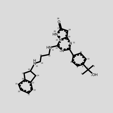 CC(C)(O)c1ccc(-c2nc(NCCCNC3Cc4ccccc4C3)n3[nH]c(=O)cc3n2)cc1